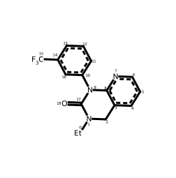 CCN1Cc2cccnc2N(c2cccc(C(F)(F)F)c2)C1=O